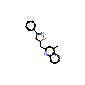 Cc1cc(CC2CC(c3ccccc3)=NO2)nc2ccccc12